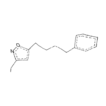 Cc1cc(CCCCc2ccccc2)on1